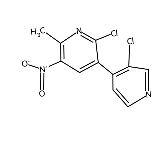 Cc1nc(Cl)c(-c2ccncc2Cl)cc1[N+](=O)[O-]